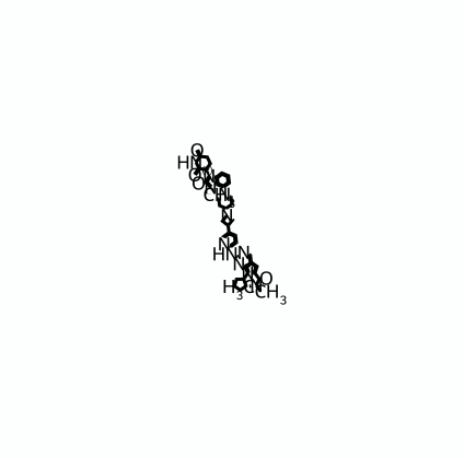 CN(C)C(=O)c1cc2cnc(Nc3ccc(C4CN(C5CCN(c6cccc7c6n(C)c(=O)n7[C@@H]6CCC(=O)NC6=O)CC5)C4)cn3)nc2n1C1CCCC1